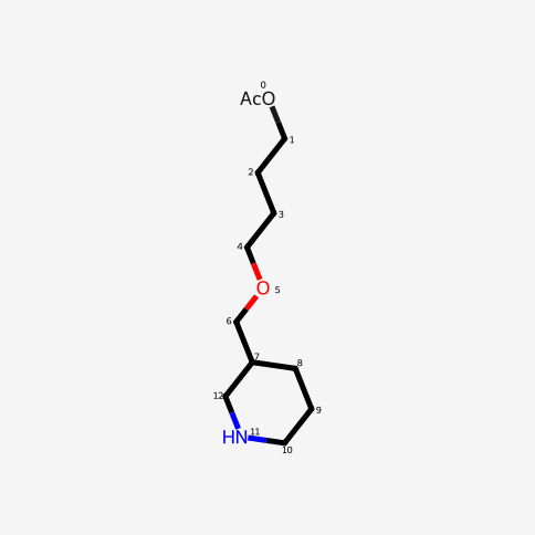 CC(=O)OCCCCOCC1CCCNC1